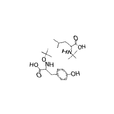 CC(C)(C)ONC(Cc1ccc(O)cc1)C(=O)O.CC(C)CC(NC(C)(C)C)C(=O)O